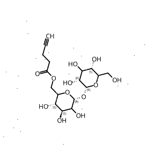 C#CCCC(=O)OCC1O[C@H](O[C@H]2OC(CO)[C@@H](O)C(O)[C@H]2O)C(O)[C@@H](O)[C@@H]1O